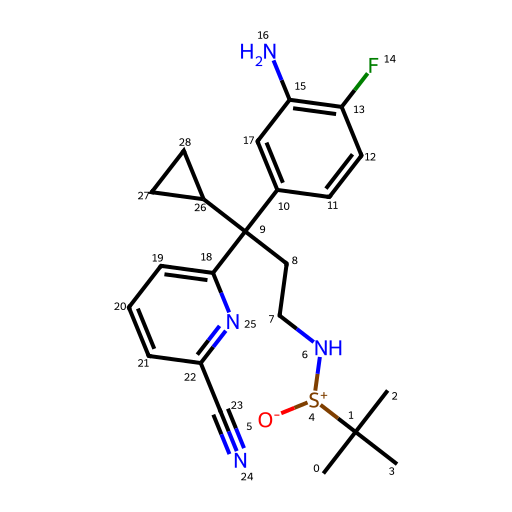 CC(C)(C)[S+]([O-])NCCC(c1ccc(F)c(N)c1)(c1cccc(C#N)n1)C1CC1